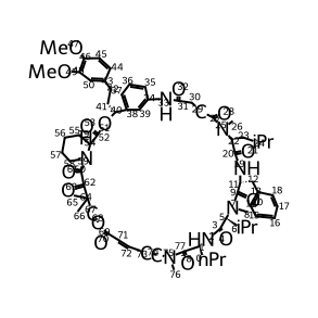 CCC[C@@H]1NC(=O)[C@H](C(C)C)N(C)C(=O)[C@@H](Cc2ccccc2)NC(=O)[C@H](CC(C)C)N(C)C(=O)CCC(=O)Nc2cccc(c2)[C@@H](CCc2ccc(OC)c(OC)c2)OC(=O)[C@@H]2CCCCN2C(=O)C(=O)C(C)(C)COC(=O)/C=C\CCN(C)C1=O